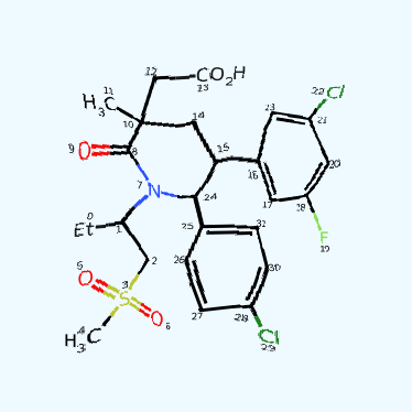 CCC(CS(C)(=O)=O)N1C(=O)C(C)(CC(=O)O)CC(c2cc(F)cc(Cl)c2)C1c1ccc(Cl)cc1